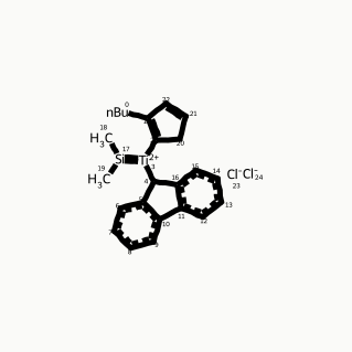 CCCCC1=[C]([Ti+2]([CH]2c3ccccc3-c3ccccc32)=[Si](C)C)CC=C1.[Cl-].[Cl-]